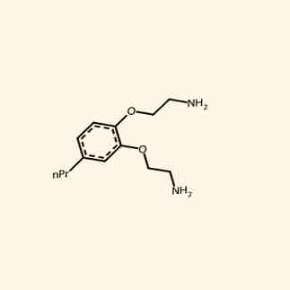 CCCc1ccc(OCCN)c(OCCN)c1